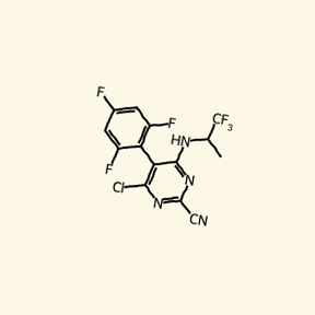 CC(Nc1nc(C#N)nc(Cl)c1-c1c(F)cc(F)cc1F)C(F)(F)F